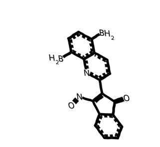 Bc1ccc(B)c2nc(C3=C(N=O)c4ccccc4C3=O)ccc12